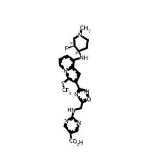 CN1CC[C@@H](Nc2cccn3c(SC(F)(F)F)c(-c4noc(CNc5ncc(C(=O)O)cn5)n4)cc23)[C@@H](F)C1